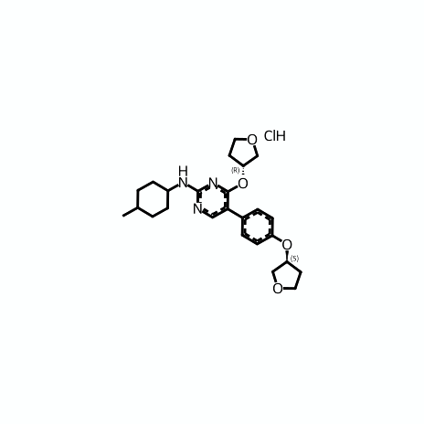 CC1CCC(Nc2ncc(-c3ccc(O[C@H]4CCOC4)cc3)c(O[C@@H]3CCOC3)n2)CC1.Cl